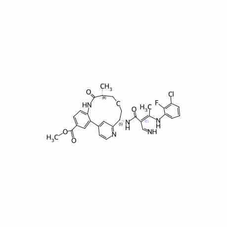 COC(=O)c1ccc2c(c1)-c1ccnc(c1)[C@@H](NC(=O)/C(C=N)=C(\C)Nc1cccc(Cl)c1F)CCC[C@@H](C)C(=O)N2